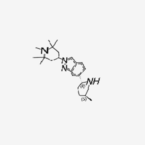 C[C@H]1CC[C@H](c2ccc3cn(C4CC(C)(C)N(C)C(C)(C)C4)nc3c2)NC1